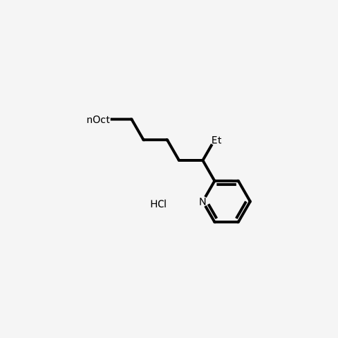 CCCCCCCCCCCCC(CC)c1ccccn1.Cl